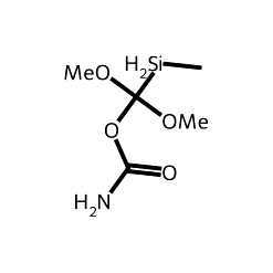 COC(OC)(OC(N)=O)[SiH2]C